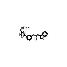 CCCCCCCCCCCc1noc(-c2cccc(CNCc3csc4ccccc34)c2)n1